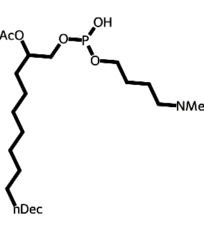 CCCCCCCCCCCCCCCCCC(COP(O)OCCCCNC)OC(C)=O